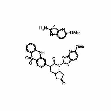 COc1ccc2nc(N)sc2n1.COc1ccc2nc(NC(=O)C(CC3CCC(=O)C3)c3ccc4c(c3)Nc3ccccc3S4(=O)=O)sc2n1